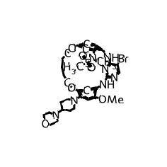 COc1cc(N2CCC(N3CCOCC3)CC2)c2cc1Nc1ncc(Br)c(n1)Nc1ccc(cc1N(C)S(C)(=O)=O)OCCCCCO2